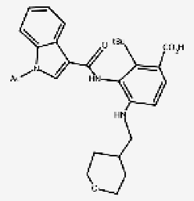 CC(=O)n1cc(C(=O)Nc2c(NCC3CCOCC3)ccc(C(=O)O)c2C(C)(C)C)c2ccccc21